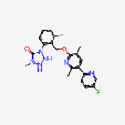 Cc1cc(-c2ccc(F)cn2)c(C)nc1OCc1c(C)cccc1N1NNN(C)C1=O